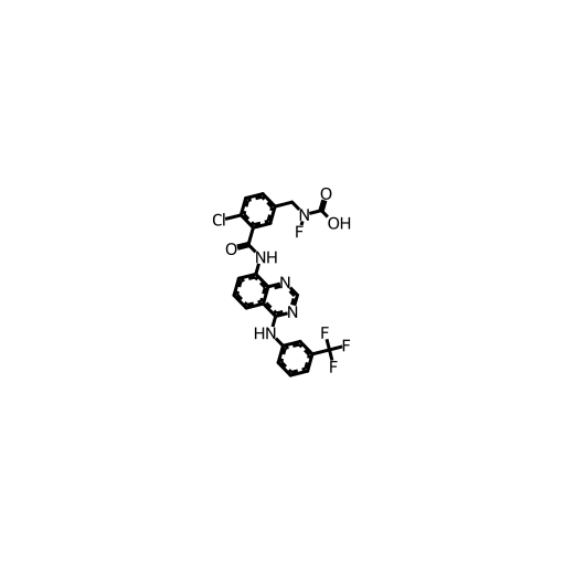 O=C(Nc1cccc2c(Nc3cccc(C(F)(F)F)c3)ncnc12)c1cc(CN(F)C(=O)O)ccc1Cl